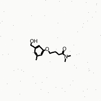 Cc1[c]c(CO)cc(OCCCC(=O)N(C)C)c1